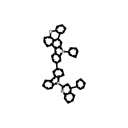 c1ccc(-c2cc(-n3c4ccccc4c4cc(-c5ccc6c7c8cccc9c8c(cc7n(-c7ccccc7)c6c5)-c5ccccc5O9)ccc43)nc3ccccc23)cc1